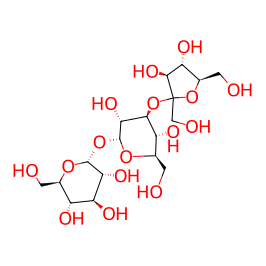 OC[C@H]1OC(CO)(O[C@@H]2[C@@H](O)[C@@H](O[C@H]3O[C@H](CO)[C@@H](O)[C@H](O)[C@H]3O)O[C@H](CO)[C@H]2O)[C@@H](O)[C@@H]1O